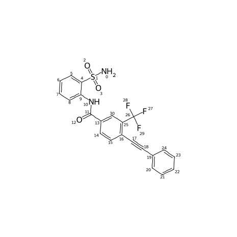 NS(=O)(=O)c1ccccc1NC(=O)c1ccc(C#Cc2ccccc2)c(C(F)(F)F)c1